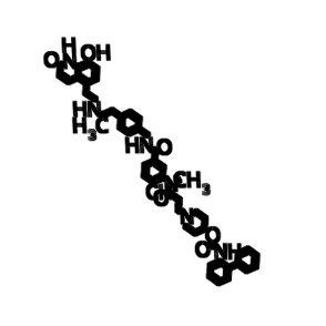 Cc1ccc(C(=O)NCc2ccc(CC(C)NCCc3ccc(O)c4[nH]c(=O)ccc34)cc2)cc1N(C)C(=O)CCN1CCC(OC(=O)Nc2ccccc2-c2ccccc2)CC1